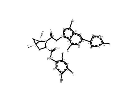 CC(=O)c1cn(CC(=O)N2[C@H](C(=O)Nc3nc(Br)c(F)cc3C)C[C@@]3(C)C[C@@H]23)c2c(C)nc(-c3cnc(C)nc3)cc12